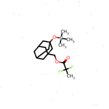 CC(F)(F)C(=O)OCC12CC3CC(C1)CC(O[Si](C)(C)C)(C3)C2